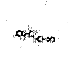 Cc1c(C(NC(=O)Nc2cnc(N3CC4(CCCO4)C3)nc2)C(C)C)oc2ccc(F)cc12